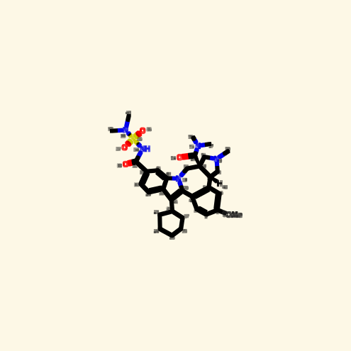 COc1ccc2c(c1)[C@H]1CN(C)C[C@@]1(C(=O)N(C)C)Cn1c-2c(C2CCCCC2)c2ccc(C(=O)NS(=O)(=O)N(C)C)cc21